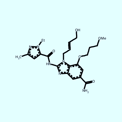 CCn1nc(C)cc1C(=O)Nc1nc2cc(C(N)=O)cc(OCCCOC)c2n1C/C=C/CO